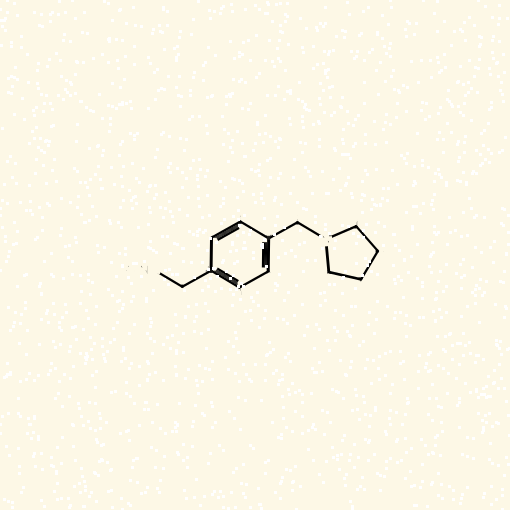 CC(=O)NCc1ccc(CN2CCCC2)cc1